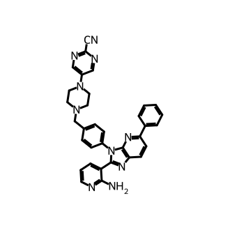 N#Cc1ncc(N2CCN(Cc3ccc(-n4c(-c5cccnc5N)nc5ccc(-c6ccccc6)nc54)cc3)CC2)cn1